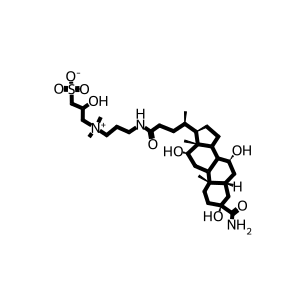 C[C@H](CCC(=O)NCCC[N+](C)(C)CC(O)CS(=O)(=O)[O-])[C@H]1CCC2C3C(C[C@H](O)[C@@]21C)[C@@]1(C)CC[C@](O)(C(N)=O)C[C@H]1C[C@H]3O